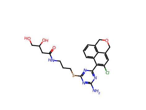 Nc1nc(SCCCNC(=O)CC(O)CO)nc(-c2c(Cl)cc3c4c(cccc24)COC3)n1